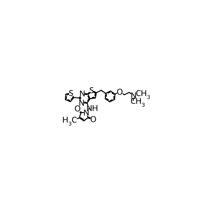 CC1=CC(=O)N(Nc2nc(-c3cccs3)nc3sc(Cc4cccc(OCCN(C)C)c4)cc23)C1=O